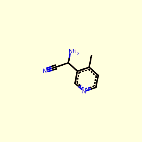 Cc1ccncc1C(N)C#N